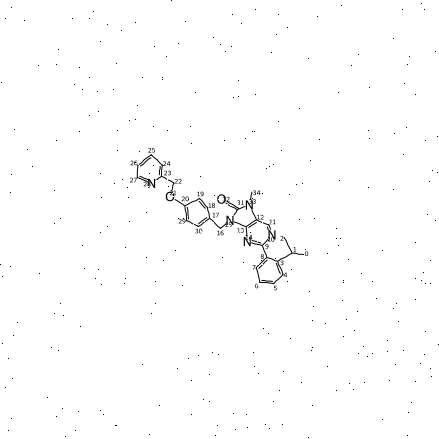 CC(C)c1ccccc1-c1ncc2c(n1)n(Cc1ccc(OCc3ccccn3)cc1)c(=O)n2C